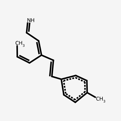 C\C=C/C(/C=C/c1ccc(C)cc1)=C\C=N